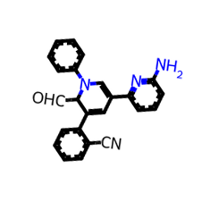 N#Cc1ccccc1C1=CC(c2cccc(N)n2)=CN(c2ccccc2)C1C=O